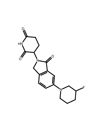 O=C1CCC(N2Cc3ccc(N4CCCC(F)C4)cc3C2=O)C(=O)N1